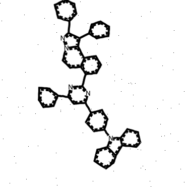 c1ccc(-c2cc(-c3ccc(-n4c5ccccc5c5ccccc54)cc3)nc(-c3cccc4c3ccn3nc(-c5ccccc5)c(-c5ccccc5)c43)n2)cc1